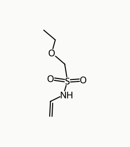 C=CNS(=O)(=O)COCC